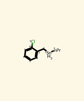 CC[CH2][SnH2][CH2]c1ccccc1Cl